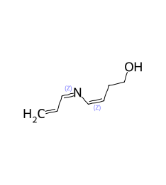 C=C/C=N\C=C/CCO